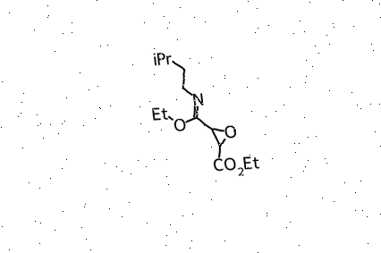 CCOC(=O)C1OC1C(=NCCC(C)C)OCC